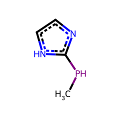 CPc1ncc[nH]1